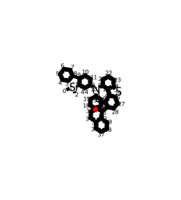 C[Si]1(C)c2ccccc2-c2ccc(N(c3ccccc3)c3cccc4sc5ccc6c(sc7ccc8ccccc8c76)c5c34)cc21